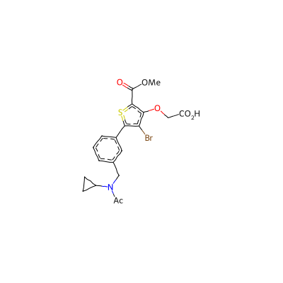 COC(=O)c1sc(-c2cccc(CN(C(C)=O)C3CC3)c2)c(Br)c1OCC(=O)O